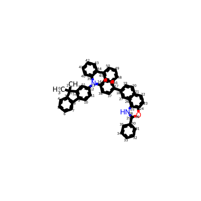 CC1(C)c2ccccc2-c2ccc(N(c3ccc(-c4ccc5ccc6c(c5c4)NC(c4ccccc4)O6)cc3)c3ccccc3-c3ccccc3)cc21